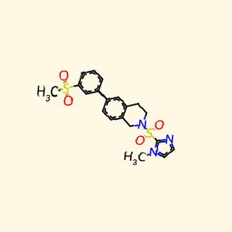 Cn1ccnc1S(=O)(=O)N1CCc2cc(-c3cccc(S(C)(=O)=O)c3)ccc2C1